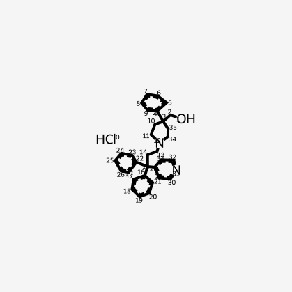 Cl.OCC1(c2ccccc2)CCN(CCC(c2ccccc2)(c2ccccc2)c2ccncc2)CC1